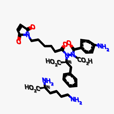 NCCCC[C@H](N)C(=O)O.Nc1ccc(C(=O)N(C(=O)O)N(C(=O)CCCCCN2C(=O)C=CC2=O)[C@@H](Cc2ccccc2)C(=O)O)cc1